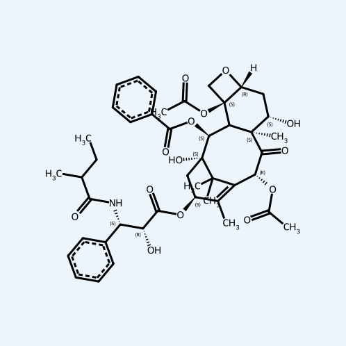 CCC(C)C(=O)N[C@@H](c1ccccc1)[C@@H](O)C(=O)O[C@H]1C[C@@]2(O)[C@@H](OC(=O)c3ccccc3)C3[C@](C)(C(=O)[C@H](OC(C)=O)C(=C1C)C2(C)C)[C@@H](O)C[C@H]1OC[C@@]31OC(C)=O